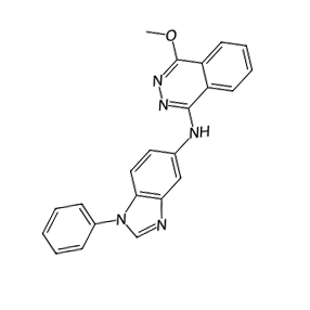 COc1nnc(Nc2ccc3c(c2)ncn3-c2ccccc2)c2ccccc12